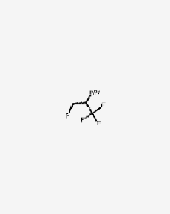 CCCC(CF)C(F)(F)F